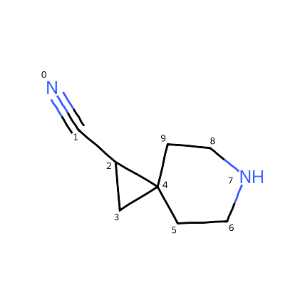 N#CC1CC12CCNCC2